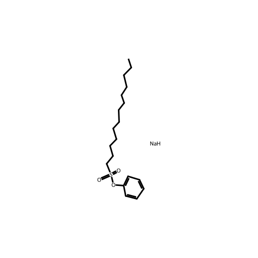 CCCCCCCCCCCCCS(=O)(=O)Oc1ccccc1.[NaH]